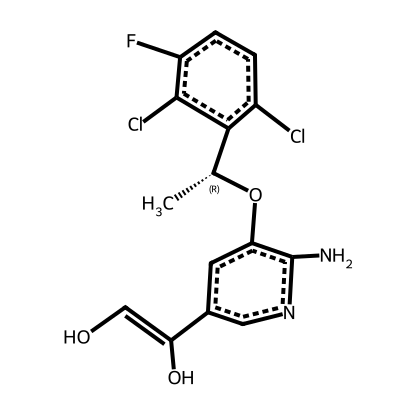 C[C@@H](Oc1cc(C(O)=CO)cnc1N)c1c(Cl)ccc(F)c1Cl